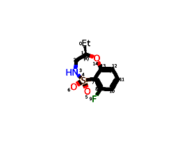 CC[C@@H]1CNS(=O)(=O)c2c(F)cccc2O1